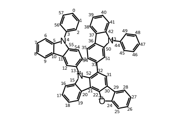 c1ccc(-n2c3ccccc3c3cc(-n4c5ccccc5c5c6oc7ccccc7c6cc(-c6ccc7c8ccccc8n(-c8ccccc8)c7c6)c54)ccc32)cc1